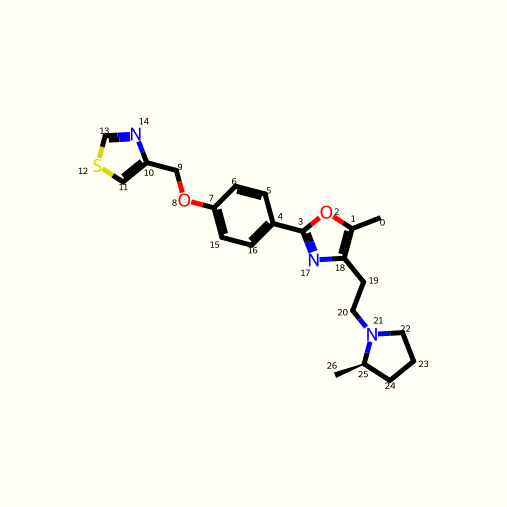 Cc1oc(-c2ccc(OCc3cscn3)cc2)nc1CCN1CCC[C@H]1C